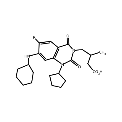 CC(CC(=O)O)Cn1c(=O)c2cc(F)c(NC3CCCCC3)cc2n(C2CCCC2)c1=O